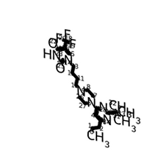 CCCc1cc(N2CCN(CCCCn3cc(C(F)(F)F)c(=O)[nH]c3=O)CC2)nc(C(C)(C)C)n1